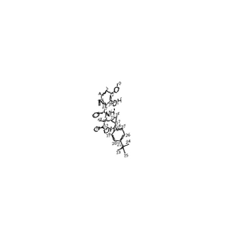 COc1ccnc(C(=O)NC(C)(C(=O)O)C2CC2c2ccc(C(C)(C)C)cc2)c1O